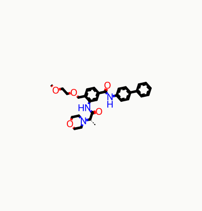 COCCOCc1ccc(C(=O)Nc2ccc(-c3ccccc3)cc2)cc1NC(=O)[C@H](C)N1CCOCC1